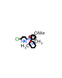 COc1ccc(CN2[C@@]3(C)CCC[C@]2(C)CC(N(C)c2ccc(Cl)nn2)C3)cc1